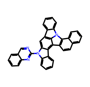 c1ccc2nc(-n3c4ccccc4c4c5c6ccc7ccccc7c6n6c7ccccc7c(cc43)c56)ncc2c1